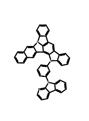 c1cc(-n2c3ccccc3c3cccnc32)cc(-n2c3ccccc3c3cc4c5ccccc5n5c6cc7ccccc7cc6c(c32)c45)c1